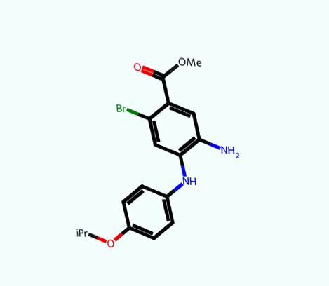 COC(=O)c1cc(N)c(Nc2ccc(OC(C)C)cc2)cc1Br